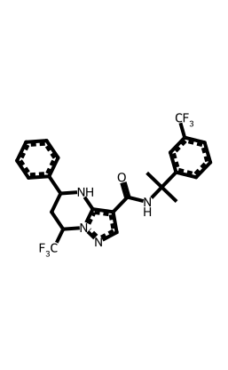 CC(C)(NC(=O)c1cnn2c1NC(c1ccccc1)CC2C(F)(F)F)c1cccc(C(F)(F)F)c1